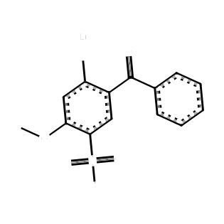 COc1cc(O)c(C(=O)c2ccccc2)cc1S(=O)(=O)[O-].[Li+]